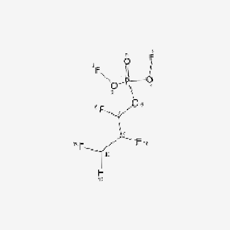 O=P(OF)(OF)OC(F)C(F)C(F)F